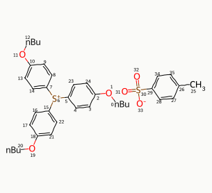 CCCCOc1ccc([S+](c2ccc(OCCCC)cc2)c2ccc(OCCCC)cc2)cc1.Cc1ccc(S(=O)(=O)[O-])cc1